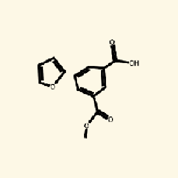 COC(=O)c1cccc(C(=O)O)c1.c1ccoc1